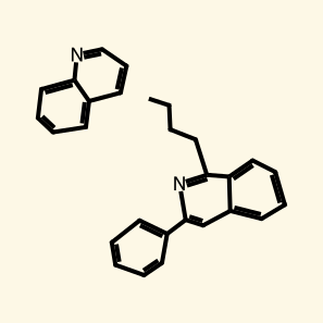 CCCCc1nc(-c2ccccc2)cc2ccccc12.c1ccc2ncccc2c1